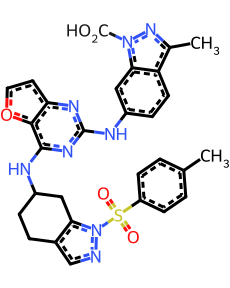 Cc1ccc(S(=O)(=O)n2ncc3c2CC(Nc2nc(Nc4ccc5c(C)nn(C(=O)O)c5c4)nc4ccoc24)CC3)cc1